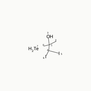 CC(C)(O)C(I)I.[TeH2]